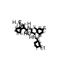 CCc1cccc(CNC[C@H](O)[C@@H](Cc2cc(F)cc(F)c2)NC(=O)c2cn(C)c3ccccc23)c1